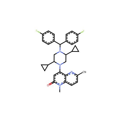 Cn1c(=O)cc(N2CC(C3CC3)N(C(c3ccc(F)cc3)c3ccc(F)cc3)CC2C2CC2)c2nc(C#N)ccc21